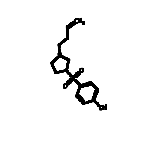 C=CCCN1CCC(S(=O)(=O)c2ccc(O)cc2)C1